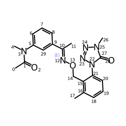 CC(=O)N(C)c1cccc(/C(C)=N/OCc2c(C)cccc2-n2nnn(C)c2=O)c1